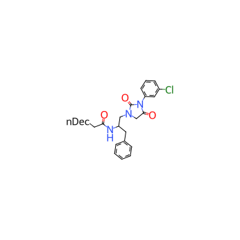 CCCCCCCCCCCC(=O)NC(Cc1ccccc1)CN1CC(=O)N(c2cccc(Cl)c2)C1=O